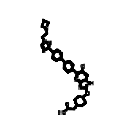 O=C(O)CC1CCC(Oc2nc3nc(-c4ccc(-c5ccc(-c6ncn(CCN7CCC7)n6)cc5)cc4)c(Cl)cc3[nH]2)CC1